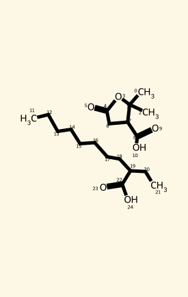 CC1(C)OC(=O)CC1C(=O)O.CCCCCCCCC(CC)C(=O)O